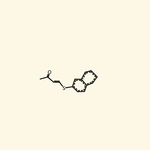 CC(=O)C=CSc1ccc2ccccc2c1